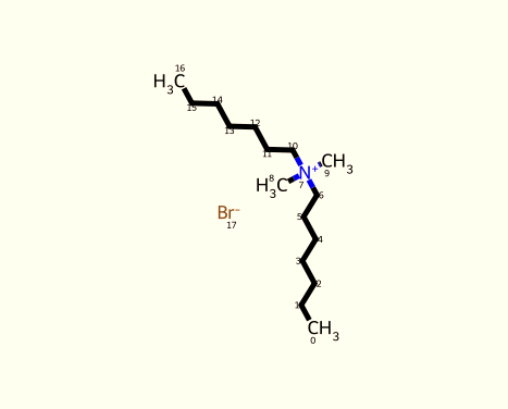 CCCCCCC[N+](C)(C)CCCCCCC.[Br-]